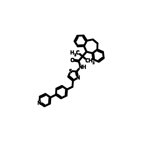 CC(C)(C(=O)Nc1nc(Cc2ccc(-c3ccncc3)cc2)cs1)C1c2ccccc2CCc2ccccc21